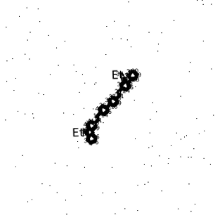 CCn1c2ccccc2c2cc(/C=C/c3ccc(-c4ccc(/C=C/c5ccc6c7ccccc7n(CC)c6c5)cc4)cc3)ccc21